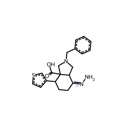 N/N=C1/CCC(c2ccsc2)C2(C(=O)O)CN(Cc3ccccc3)CC12